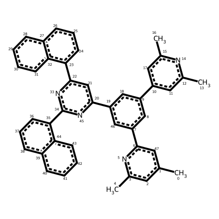 Cc1cc(C)nc(-c2cc(-c3cc(C)nc(C)c3)cc(-c3cc(-c4cccc5ccccc45)nc(-c4cccc5ccccc45)n3)c2)c1